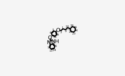 [CH](CCOc1ccc(Oc2nc3ccccc3[nH]2)cc1)CC1CCCCC1